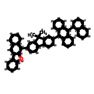 CC1(C)c2cc(-c3c4ccccc4c(-c4cccc5ccccc45)c4ccccc34)ccc2-c2ccc(-c3c4ccccc4cc4c3oc3ccccc34)cc21